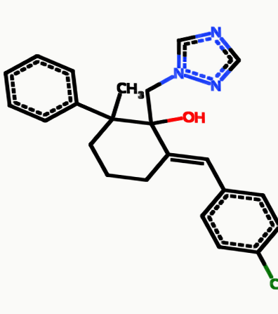 CC1(c2ccccc2)CCCC(=Cc2ccc(Cl)cc2)C1(O)Cn1cncn1